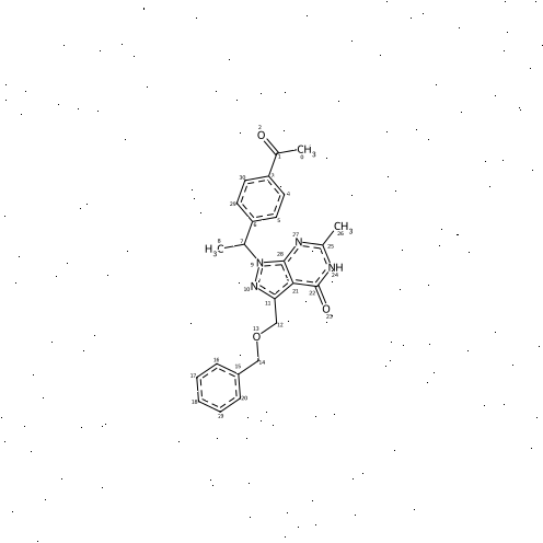 CC(=O)c1ccc(C(C)n2nc(COCc3ccccc3)c3c(=O)[nH]c(C)nc32)cc1